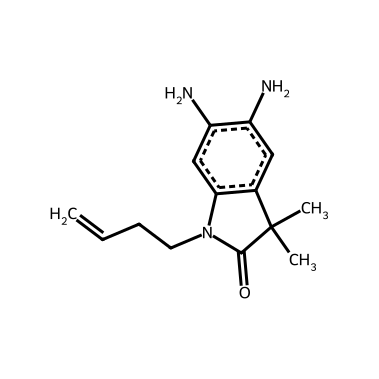 C=CCCN1C(=O)C(C)(C)c2cc(N)c(N)cc21